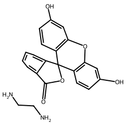 NCCN.O=C1OC2(c3ccc(O)cc3Oc3cc(O)ccc32)c2ccccc21